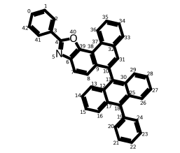 c1ccc(-c2nc3ccc4c(-c5c6ccccc6c(-c6ccccc6)c6ccccc56)cc5ccccc5c4c3o2)cc1